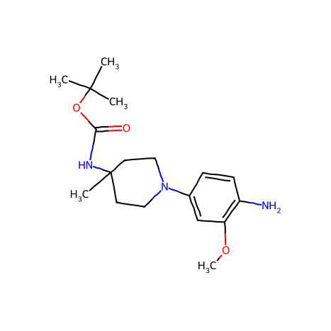 COc1cc(N2CCC(C)(NC(=O)OC(C)(C)C)CC2)ccc1N